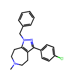 CN1CCc2c(-c3ccc(Cl)cc3)nn(Cc3ccccc3)c2CC1